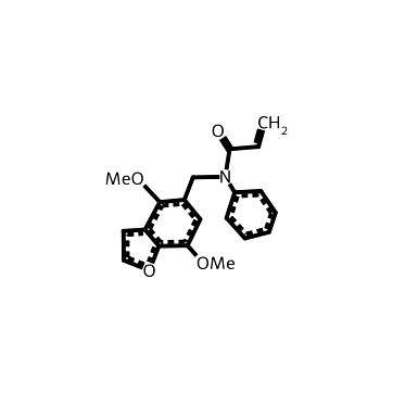 C=CC(=O)N(Cc1cc(OC)c2occc2c1OC)c1ccccc1